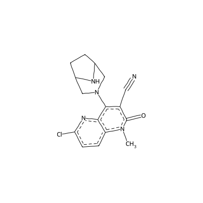 Cn1c(=O)c(C#N)c(N2CC3CCC(C2)N3)c2nc(Cl)ccc21